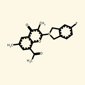 CC(=O)c1cc(C)cc2c(=O)c(C)c(N3Cc4ccc(F)cc4C3)oc12